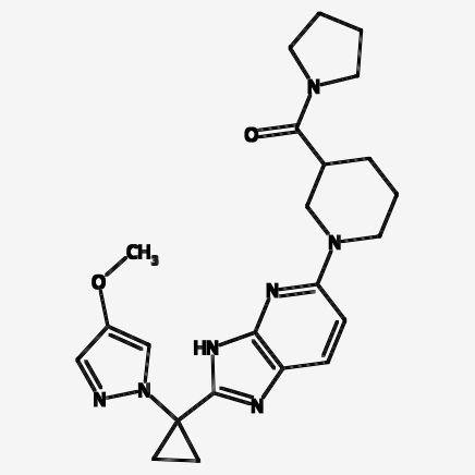 COc1cnn(C2(c3nc4ccc(N5CCCC(C(=O)N6CCCC6)C5)nc4[nH]3)CC2)c1